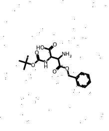 CC(C)(C)OC(=O)NC(C(=O)O)C(N)C(=O)OCc1ccccc1